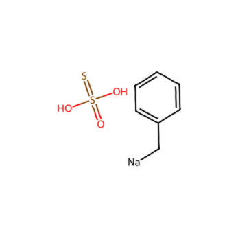 O=S(O)(O)=S.[Na][CH2]c1ccccc1